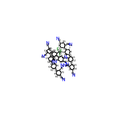 N#Cc1ccc(-c2ccc3c4ccc(-c5ccc(C#N)cc5C#N)cc4n(-c4cc(-c5c(C#N)cccc5C(F)(F)F)c(-n5c6cc(-c7ccc(C#N)cc7C#N)ccc6c6ccc(-c7ccc(C#N)cc7C#N)cc65)cc4C#N)c3c2)c(C#N)c1